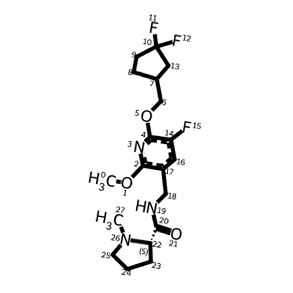 COc1nc(OCC2CCC(F)(F)C2)c(F)cc1CNC(=O)[C@@H]1CCCN1C